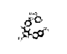 CO[C@@H]1COCC[C@@H]1NC1CCN(C(=O)c2nc(C(F)(F)F)nc(N3CCc4ccc(C(F)(F)F)cc4C3)c2C)CC1